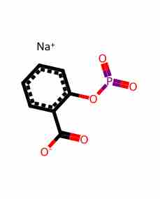 O=C([O-])c1ccccc1OP(=O)=O.[Na+]